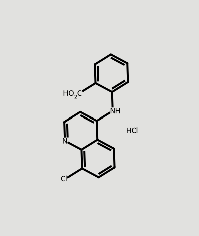 Cl.O=C(O)c1ccccc1Nc1ccnc2c(Cl)cccc12